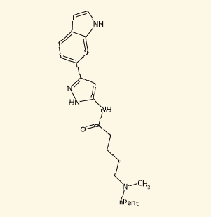 CCCCCN(C)CCCCC(=O)Nc1cc(-c2ccc3cc[nH]c3c2)n[nH]1